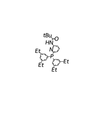 CCc1cc(CC)cc(P(c2cc(CC)cc(CC)c2)c2cccc(NC(=O)C(C)(C)C)n2)c1